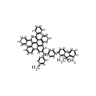 Cc1ccc(N(c2ccc(-c3ccc4c(c3)C(C)(C)c3ccccc3-4)cc2)c2ccc3c4c(c5c(c3c2)CCC=C5)=C(c2ccccc2)CC(C2=CCCC=C2)C=4c2ccccc2)cc1